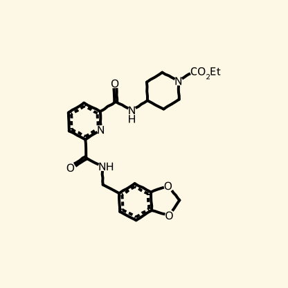 CCOC(=O)N1CCC(NC(=O)c2cccc(C(=O)NCc3ccc4c(c3)OCO4)n2)CC1